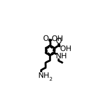 CCNc1c(CCCCN)ccc(C(=O)O)c1C(=O)O